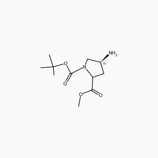 COC(=O)C1C[C@H](N)CN1C(=O)OC(C)(C)C